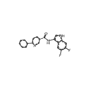 O=C(Nc1c[nH]c2cc(F)c(F)cc12)c1ccc(-c2ccccc2)nc1